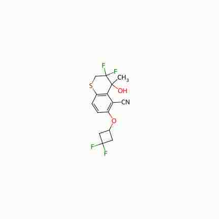 CC1(O)c2c(ccc(OC3CC(F)(F)C3)c2C#N)SCC1(F)F